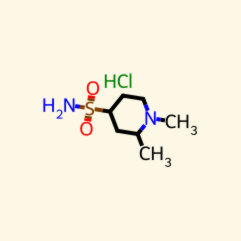 CC1CC(S(N)(=O)=O)CCN1C.Cl